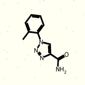 Cc1ccccc1-n1cc(C(N)=O)nn1